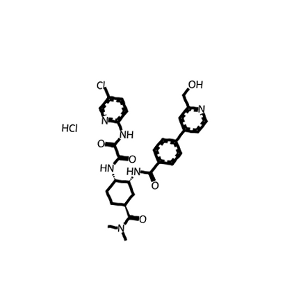 CN(C)C(=O)[C@H]1CC[C@H](NC(=O)C(=O)Nc2ccc(Cl)cn2)[C@H](NC(=O)c2ccc(-c3ccnc(CO)c3)cc2)C1.Cl